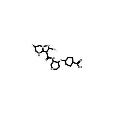 NC1NN2CC(F)CNC2C1C(=O)NC1CNCCC1OC1CCC(C(=O)O)CC1